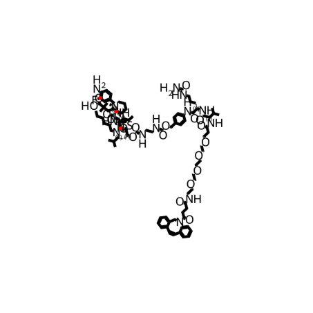 CCCCCCN(C(=O)[C@@H](NC(=O)[C@H]1CCCCN1C)[C@@H](C)CC)[C@H](C[C@@H](OC(=O)NCCNC(=O)OCc1ccc(NC(=O)[C@H](CCCNC(N)=O)NC(=O)[C@@H](NC(=O)CCOCCOCCOCCOCCNC(=O)CCC(=O)N2Cc3ccccc3C#Cc3ccccc32)C(C)C)cc1)c1nc(C(=O)N[C@@H](Cc2ccc(N)c(F)c2)CC(C)(C)C(=O)O)cs1)C(C)C